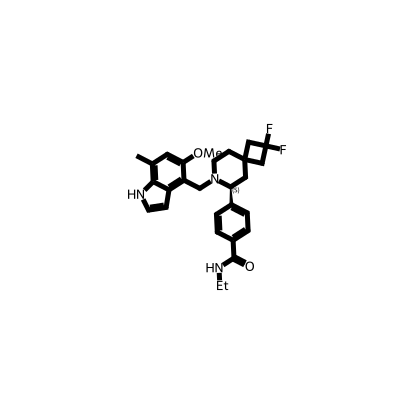 CCNC(=O)c1ccc([C@@H]2CC3(CCN2Cc2c(OC)cc(C)c4[nH]ccc24)CC(F)(F)C3)cc1